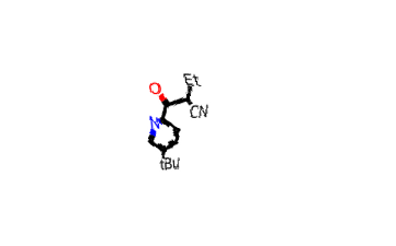 CCC(C#N)C(=O)c1ccc(C(C)(C)C)cn1